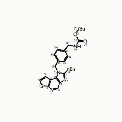 CCCCc1nc2cnc3sccc3c2n1Cc1ccc(CNC(=O)OC(C)(C)C)cc1